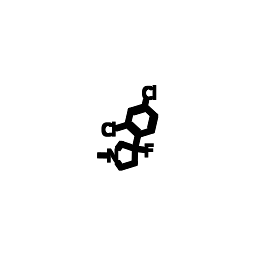 CN1CCC(F)(c2ccc(Cl)cc2Cl)C1